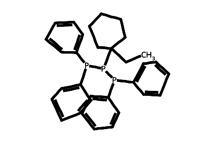 CCC1(P(P(c2ccccc2)c2ccccc2)P(c2ccccc2)c2ccccc2)CCCCC1